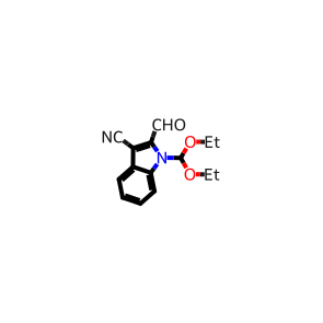 CCOC(OCC)n1c(C=O)c(C#N)c2ccccc21